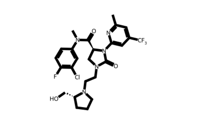 Cc1cc(C(F)(F)F)cc(N2C(=O)N(CCN3CCC[C@@H]3CO)C[C@H]2C(=O)N(C)c2ccc(F)c(Cl)c2)n1